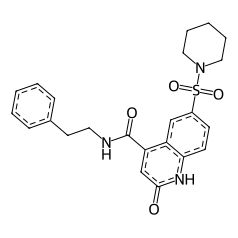 O=C(NCCc1ccccc1)c1cc(=O)[nH]c2ccc(S(=O)(=O)N3CCCCC3)cc12